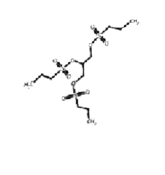 CCCS(=O)(=O)OCC(COS(=O)(=O)CCC)OS(=O)(=O)CCC